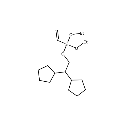 C=C[Si](OCC)(OCC)OCC(C1CCCC1)C1CCCC1